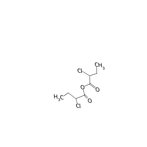 CCC(Cl)C(=O)OC(=O)C(Cl)CC